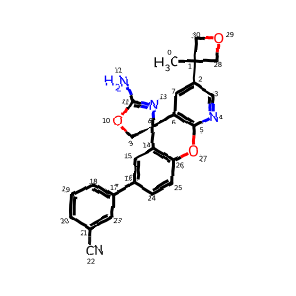 CC1(c2cnc3c(c2)[C@]2(COC(N)=N2)c2cc(-c4cccc(C#N)c4)ccc2O3)COC1